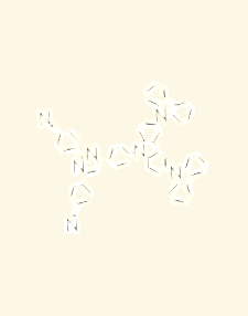 N#Cc1ccc(-c2cc(-c3ccc(-n4c5ccc(-n6c7ccccc7c7ccccc76)cc5c5cc(-n6c7ccccc7c7ccccc76)ccc54)cc3)nc(-c3ccc(C#N)cc3)n2)cc1